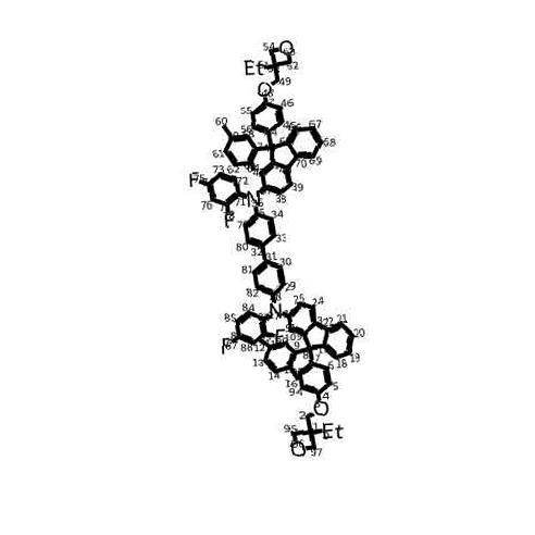 CCC1(COc2ccc(C3(c4cc(C)ccc4C)c4ccccc4-c4ccc(N(c5ccc(-c6ccc(N(c7ccc8c(c7)C(c7ccc(OCC9(CC)COC9)cc7)(c7cc(C)ccc7C)c7ccccc7-8)c7ccc(F)cc7F)cc6)cc5)c5ccc(F)cc5F)cc43)cc2)COC1